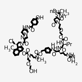 CCCCC(C)(CCC)SC1CC(=O)N(CCOCCOC(=O)N[C@H](C(=O)N[C@@H](CCCNC(N)=O)C(=O)Nc2ccc(COC(=O)N(C)CCN(CCOCCO)C(=O)Oc3cc4c(c5c(C)cccc35)[C@H](CCl)CN4C(=O)c3cn4cc(NC(=O)c5ccc(O)cc5)ccc4n3)cc2)C(C)C)C1=O